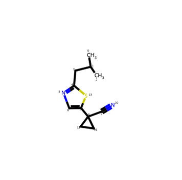 CC(C)Cc1ncc(C2(C#N)CC2)s1